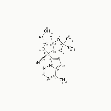 Cc1ncnn2c([C@]3(C#N)O[C@H](CO)[C@H]4OC(C)(C)OC43)ccc12